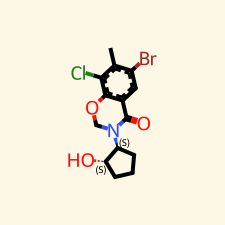 Cc1c(Br)cc2c(c1Cl)OCN([C@H]1CCC[C@@H]1O)C2=O